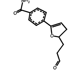 NC(=O)c1ccc(C2=CCC(CCC=O)O2)cc1